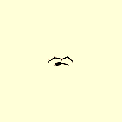 CC#N.[Li][CH2]CCC